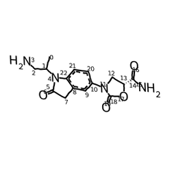 CC(CN)N1C(=O)Cc2cc(N3C[C@H](C(N)=O)OC3=O)ccc21